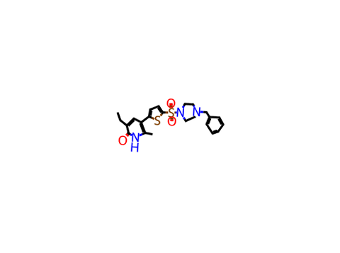 CCc1cc(-c2ccc(S(=O)(=O)N3CCN(Cc4ccccc4)CC3)s2)c(C)[nH]c1=O